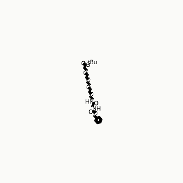 CC(C)(C)OC(=O)CCOCCOCCOCCOCCNC(=O)CNC(=O)OCc1ccccc1